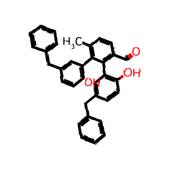 Cc1ccc(C=O)c(-c2cc(Cc3ccccc3)ccc2O)c1-c1cc(Cc2ccccc2)ccc1O